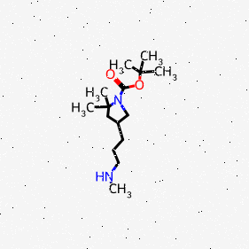 CNCCCC1CN(C(=O)OC(C)(C)C)C(C)(C)C1